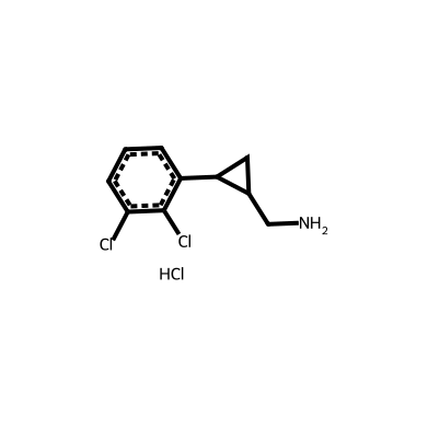 Cl.NCC1CC1c1cccc(Cl)c1Cl